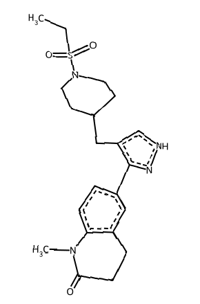 CCS(=O)(=O)N1CCC(Cc2c[nH]nc2-c2ccc3c(c2)CCC(=O)N3C)CC1